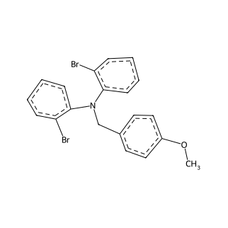 COc1ccc(CN(c2ccccc2Br)c2ccccc2Br)cc1